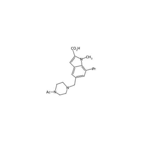 CC(=O)N1CCN(Cc2cc(C(C)C)c3c(c2)cc(C(=O)O)n3C)CC1